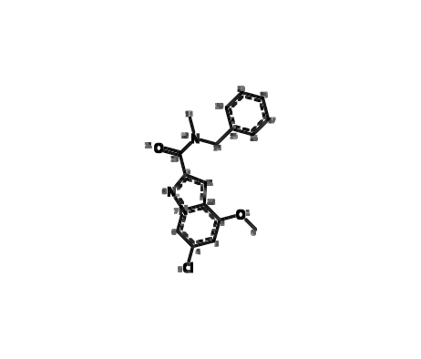 COc1cc(Cl)cn2nc(C(=O)N(C)Cc3ccccc3)cc12